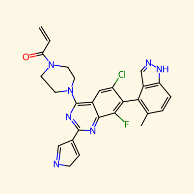 C=CC(=O)N1CCN(c2nc(C3=CCN=C3)nc3c(F)c(-c4c(C)ccc5[nH]ncc45)c(Cl)cc23)CC1